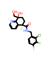 O=C(NCc1ccc(F)c(F)c1Cl)[C@]1(F)CC[C@@](O)(CO)c2ncccc21